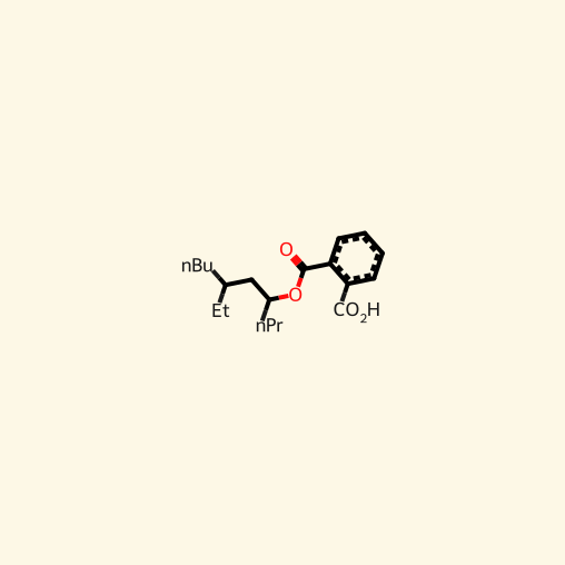 CCCCC(CC)CC(CCC)OC(=O)c1ccccc1C(=O)O